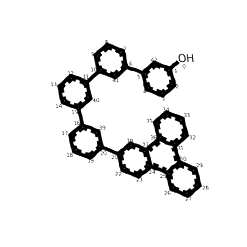 Oc1cccc(-c2cccc(-c3cccc(-c4cccc(-c5ccc6c7ccccc7c7ccccc7c6c5)c4)c3)c2)c1